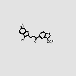 CC(C)c1c(CCC(=O)c2ccc3c(c2)C(C(=O)O)CC3)sc2cc(C(F)(F)F)ccc12